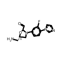 NC[C@H]1CN(c2ccc(-n3ccnc3)c(F)c2)C(C=O)O1